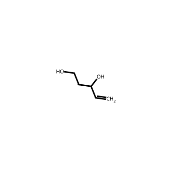 C=CC(O)[CH]CO